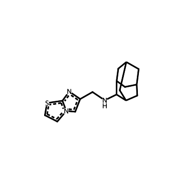 c1cn2cc(CNC3C4CC5CC(C4)CC3C5)nc2s1